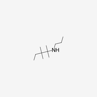 CCCNC(C)(C)C(C)(C)CC